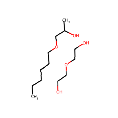 CCCCCCOCC(C)O.OCCOCCO